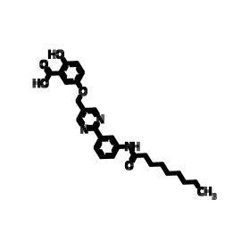 CCCCCCCCC(=O)Nc1cccc(-c2ncc(COc3ccc(O)c(C(=O)O)c3)cn2)c1